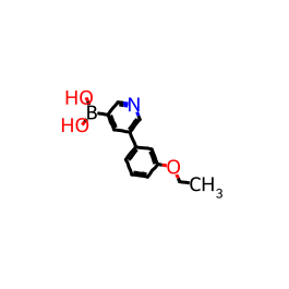 CCOc1cccc(-c2cncc(B(O)O)c2)c1